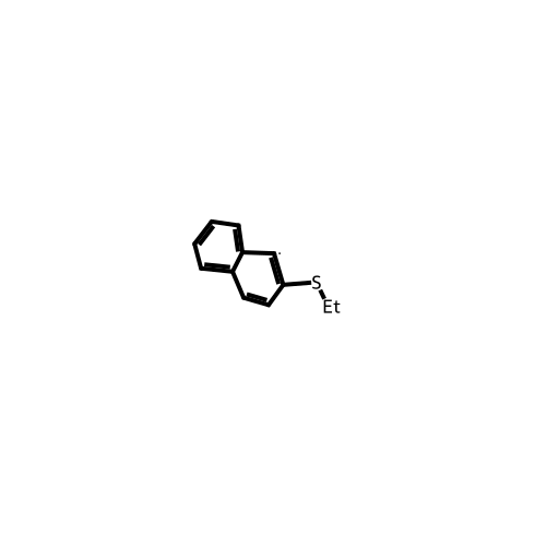 CCSc1[c]c2ccccc2cc1